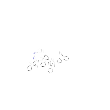 C=C/C=C\C=C\c1nc(-c2cccc3c2oc2cccc(-c4nc(-c5ccccc5)nc(-c5ccc(-c6ccccc6C#N)cc5)n4)c23)nc2c1sc1ccccc12